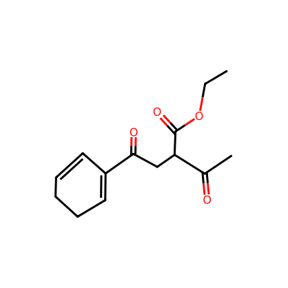 CCOC(=O)C(CC(=O)C1=CCCC=C1)C(C)=O